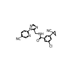 N#Cc1ccc(-n2ncnc2CNC(=O)c2cc(Cl)cc(C3(C#N)CC3)c2)nc1